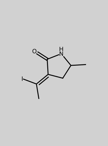 C/C(I)=C1\CC(C)NC1=O